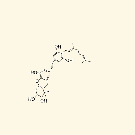 CC(C)=CCC/C(C)=C/Cc1c(O)cc(/C=C/c2cc(O)c3c(c2)CC2C(C)(C)[C@H](O)[C@H](O)C[C@@]2(C)O3)cc1O